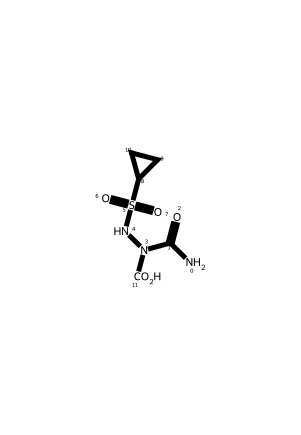 NC(=O)N(NS(=O)(=O)C1CC1)C(=O)O